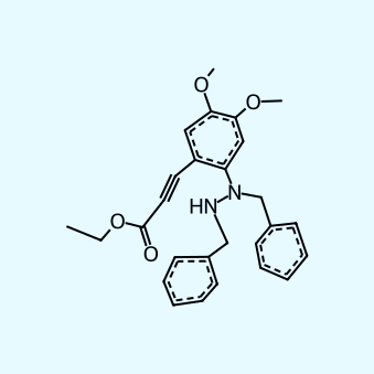 CCOC(=O)C#Cc1cc(OC)c(OC)cc1N(Cc1ccccc1)NCc1ccccc1